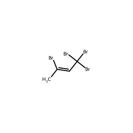 CC(Br)=CC(Br)(Br)Br